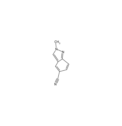 Cn1cc2cc(C#N)ccc2n1